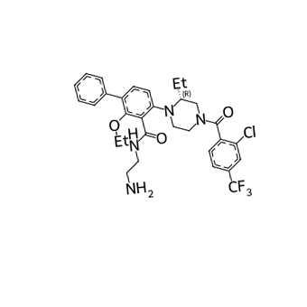 CCOc1c(-c2ccccc2)ccc(N2CCN(C(=O)c3ccc(C(F)(F)F)cc3Cl)C[C@H]2CC)c1C(=O)NCCN